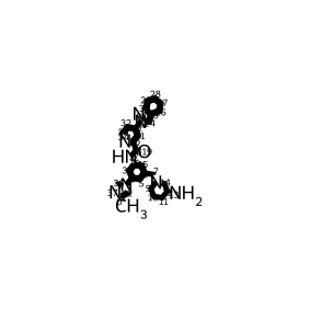 Cc1cn(-c2cc(CN3CCC[C@H](N)C3)cc(NC(=O)c3cc(-n4cc5ccccc5n4)ccn3)c2)cn1